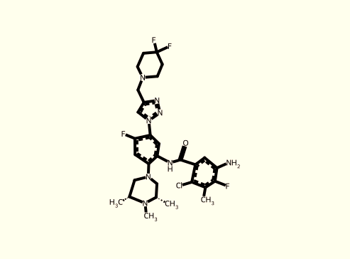 Cc1c(F)c(N)cc(C(=O)Nc2cc(-n3cc(CN4CCC(F)(F)CC4)nn3)c(F)cc2N2C[C@@H](C)N(C)[C@@H](C)C2)c1Cl